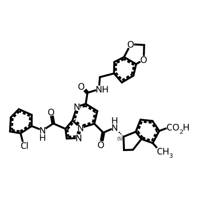 Cc1c(C(=O)O)ccc2c1CC[C@@H]2NC(=O)c1cc(C(=O)NCc2ccc3c(c2)OCO3)nc2c(C(=O)Nc3ccccc3Cl)cnn12